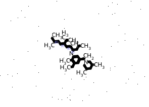 C=C(C)C(=C\C=C(/C)CC)/C=C(C)/C(CCC)=N/c1cc(C(=C)N2CC(C)CC(C)C2)cc(CC)c1C